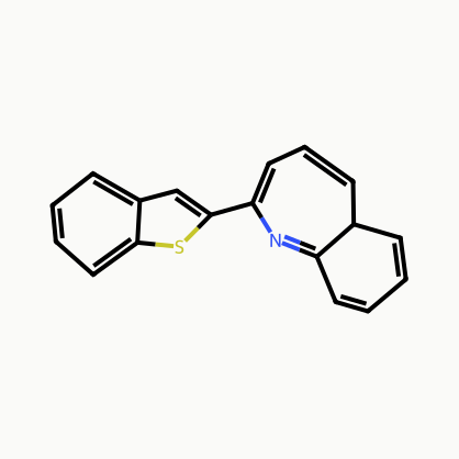 C1=CC2=NC(c3cc4ccccc4s3)=CC=CC2C=C1